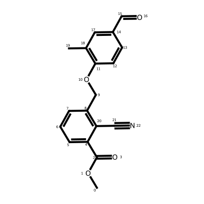 COC(=O)c1cccc(COc2ccc(C=O)cc2C)c1C#N